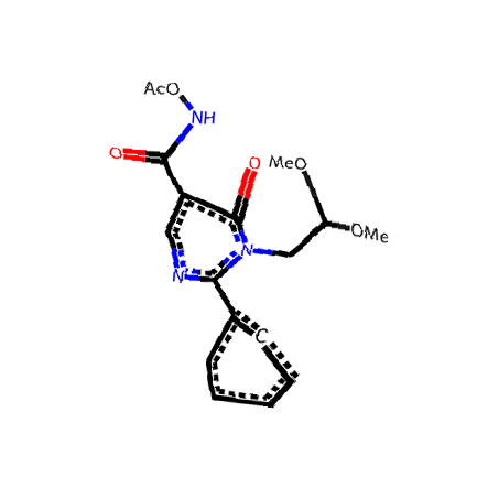 COC(Cn1c(-c2ccccc2)ncc(C(=O)NOC(C)=O)c1=O)OC